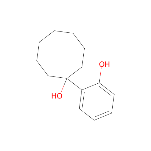 Oc1ccccc1C1(O)CCCCCCC1